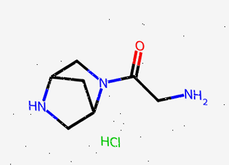 Cl.NCC(=O)N1CC2CC1CN2